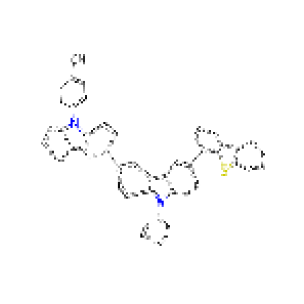 N#CC1=CC=C(n2c3ccccc3c3cc(-c4ccc5c(c4)c4cc(-c6cccc7c6sc6ccccc67)ccc4n5-c4ccccc4)ccc32)CC1